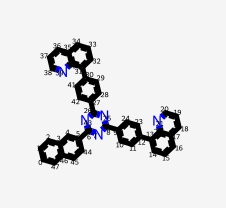 c1ccc2cc(-c3nc(-c4ccc(-c5cccc6cccnc56)cc4)nc(-c4ccc(-c5cccc6cccnc56)cc4)n3)ccc2c1